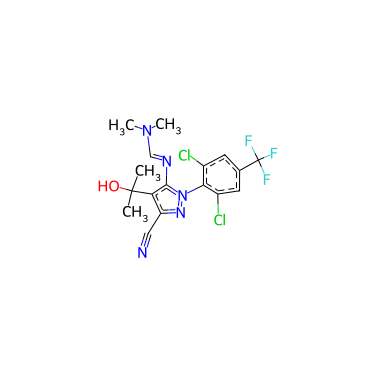 CN(C)C=Nc1c(C(C)(C)O)c(C#N)nn1-c1c(Cl)cc(C(F)(F)F)cc1Cl